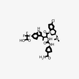 CC(c1c[nH]c2ccccc12)C(NC(=O)Nc1ccc(C(N)=O)cc1)C(=O)N1C[C@@H](CN(C)C)Cc2cc(Cl)ccc21.O=C(O)C(F)(F)F